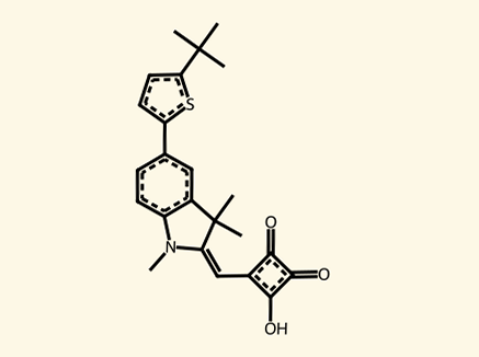 CN1/C(=C/c2c(O)c(=O)c2=O)C(C)(C)c2cc(-c3ccc(C(C)(C)C)s3)ccc21